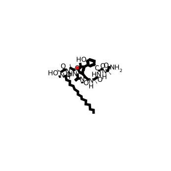 C=C(CNC(=O)[C@@H](C)NC(=O)[C@@H](CO)N(C)C(=O)CCCCCCCCCCCCCCC)N(C)[C@@H]1C(=O)N[C@@H](C)C(=O)N[C@H](C(=O)N[C@@H](C)C(N)=O)Cc2ccc(O)c(c2)-c2cc1ccc2C